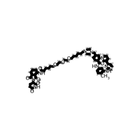 Cc1ccc(NC(=O)C2C=CC(CN3CCN(CCCCCCOCCOCCOCCCCCC(=O)Nc4cccc5c4C(=O)N(C4CCC(=O)NC4=O)C5=O)CC3)=CC2)cc1Nc1nccc(-c2cccnc2)n1